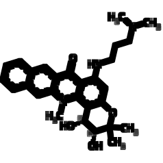 CN(C)CCCNc1cc2c(c3c1c(=O)c1cc4ccccc4cc1n3C)[C@@H](O)[C@@H](O)C(C)(C)O2